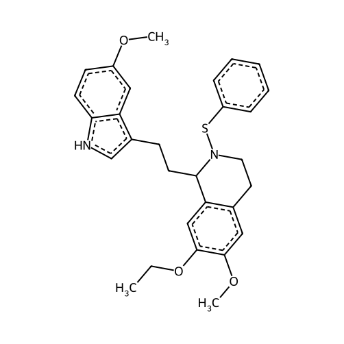 CCOc1cc2c(cc1OC)CCN(Sc1ccccc1)C2CCc1c[nH]c2ccc(OC)cc12